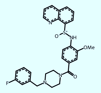 COc1cc(C(=O)N2CCN(Cc3cccc(F)c3)CC2)ccc1N[S+]([O-])c1cccc2cccnc12